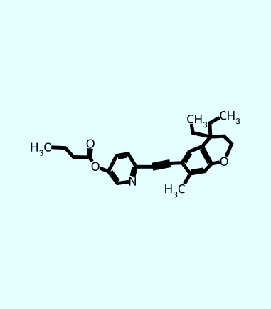 CCCC(=O)Oc1ccc(C#Cc2cc3c(cc2C)OCCC3(CC)CC)nc1